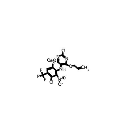 C=CCOc1nc(Cl)ncc1Nc1c([N+](=O)[O-])cc(C(F)(F)F)c(Cl)c1[N+](=O)[O-]